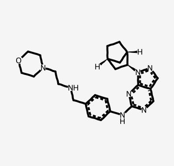 c1cc(Nc2ncc3cnn([C@H]4C[C@@H]5CC[C@H]4C5)c3n2)ccc1CNCCN1CCOCC1